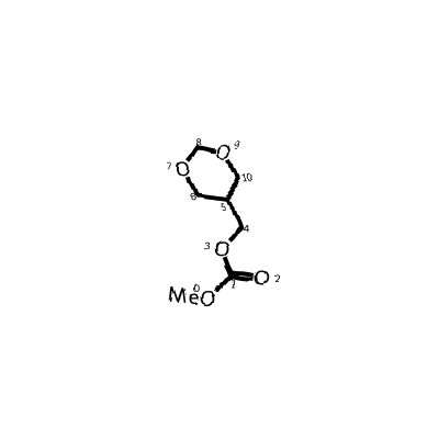 [CH2]OC(=O)OCC1COCOC1